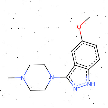 COc1ccc2[nH]nc(N3CCN(C)CC3)c2c1